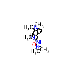 CCN(CC)C(=O)N[C@H]1CC2c3cccc4c3c(c(C)n4C)C[C@H]2N(C)C1